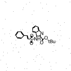 CC(C)(C)OC(=O)C1=Nc2ccccc2C1NS(=O)(=O)C=Cc1ccccc1